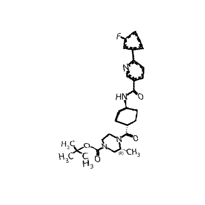 C[C@@H]1CN(C(=O)OC(C)(C)C)CCN1C(=O)[C@H]1CC[C@H](NC(=O)c2ccc(-c3cccc(F)c3)nc2)CC1